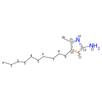 CCCCCCCCCCc1sc(N)nc1C